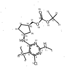 CNc1nc(Cl)c([Si](C)(C)C)c(N[C@H]2CC[C@@H](COC(=O)OC(C)(C)C)C2)n1